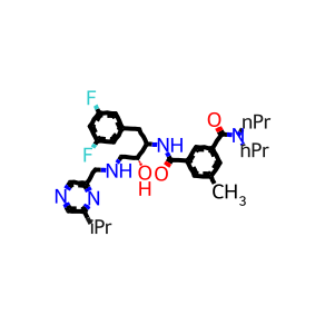 CCCN(CCC)C(=O)c1cc(C)cc(C(=O)NC(Cc2cc(F)cc(F)c2)[C@H](O)CNCc2cncc(C(C)C)n2)c1